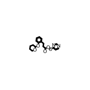 O=C(CCc1ccccc1OC1CCCCO1)OOc1ccncn1